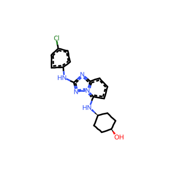 O[C@H]1CC[C@@H](Nc2cccc3nc(Nc4ccc(Cl)cc4)nn23)CC1